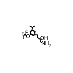 CC(C)c1cc(CC[C@H](O)CN)cc(OC(F)(F)F)c1